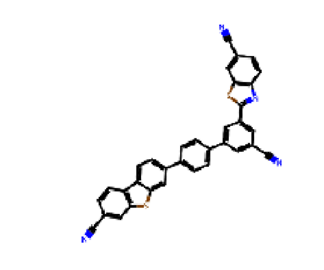 N#Cc1cc(-c2ccc(-c3ccc4c(c3)sc3cc(C#N)ccc34)cc2)cc(-c2nc3ccc(C#N)cc3s2)c1